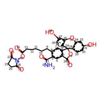 NC(=O)c1cc2c(cc1CCCCCC(=O)ON1C(=O)CCC1=O)C1(OC2=O)c2ccc(O)cc2Oc2cc(O)ccc21